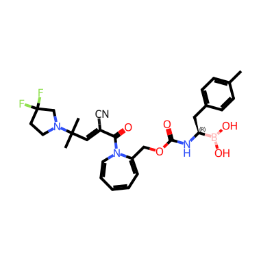 Cc1ccc(C[C@H](NC(=O)OCC2=CC=CC=CN2C(=O)C(C#N)=CC(C)(C)N2CCC(F)(F)C2)B(O)O)cc1